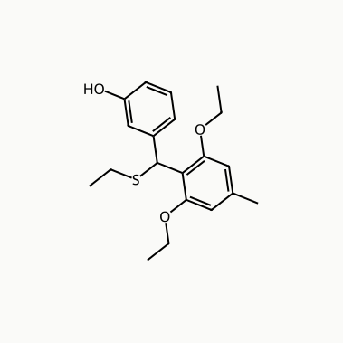 CCOc1cc(C)cc(OCC)c1C(SCC)c1cccc(O)c1